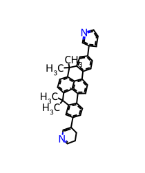 CC1(C)c2cc(C3=CN=CCC3)ccc2-c2ccc3c4c(ccc1c24)C(C)(C)c1cc(-c2cccnc2)ccc1-3